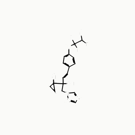 OC(/C=C/c1ccc(OC(F)(F)C(F)Cl)cc1)(Cn1cncn1)C1(Cl)CC1